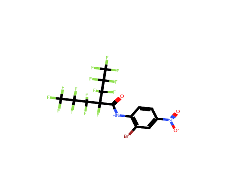 O=C(Nc1ccc([N+](=O)[O-])cc1Br)C(F)(C(F)(F)C(F)(F)C(F)(F)F)C(F)(F)C(F)(F)C(F)(F)F